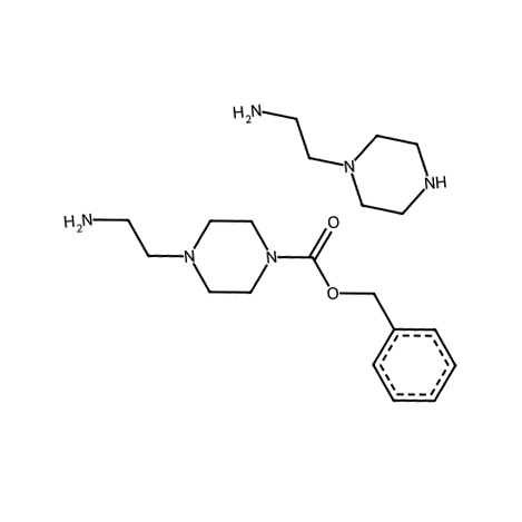 NCCN1CCN(C(=O)OCc2ccccc2)CC1.NCCN1CCNCC1